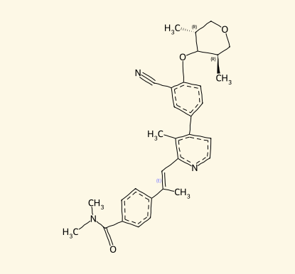 C/C(=C\c1nccc(-c2ccc(OC3[C@H](C)COC[C@H]3C)c(C#N)c2)c1C)c1ccc(C(=O)N(C)C)cc1